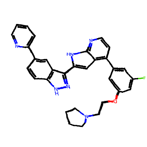 Fc1cc(OCCN2CCCC2)cc(-c2ccnc3[nH]c(-c4n[nH]c5ccc(-c6ccccn6)cc45)cc23)c1